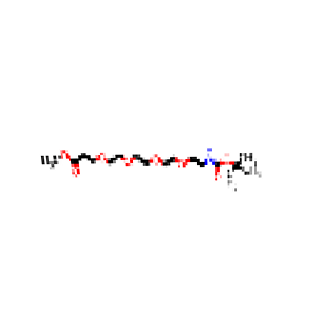 COC(=O)CCOCCOCCOCCOCCNC(=O)OC(C)(C)C